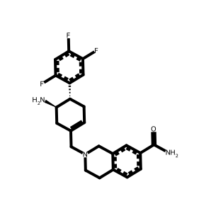 NC(=O)c1ccc2c(c1)CN(CC1=CC[C@@H](c3cc(F)c(F)cc3F)[C@H](N)C1)CC2